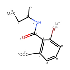 CSCC(C)NC(=O)c1c(Br)cccc1C(=O)[O-].[Li+]